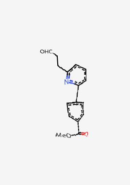 COC(=O)c1ccc(-c2cccc(CCC=O)n2)cc1